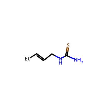 CCC=CCNC(N)=S